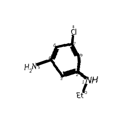 CCNc1cc(N)cc(Cl)c1